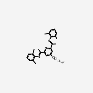 CC(=Nc1c(C)cccc1C)c1cc(Cl)cc(C(C)=Nc2c(C)cccc2C)n1.[Cl-].[Cl-].[Fe+2]